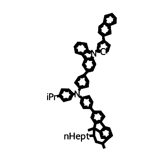 CCCCCCCC1CC(C)c2ccc3c(c2)C1(C)c1cc(-c2ccc(N(c4ccc(-c5ccc6c(c5)c5ccccc5n6-c5cccc(-c6ccc7ccccc7c6)c5)cc4)c4ccc(C(C)C)cc4)cc2)ccc1-3